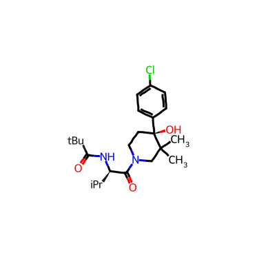 CC(C)[C@@H](NC(=O)C(C)(C)C)C(=O)N1CC[C@](O)(c2ccc(Cl)cc2)C(C)(C)C1